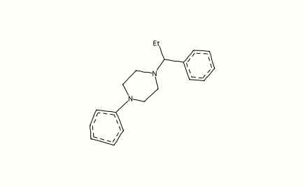 CCC(c1ccccc1)N1CCN(c2ccccc2)CC1